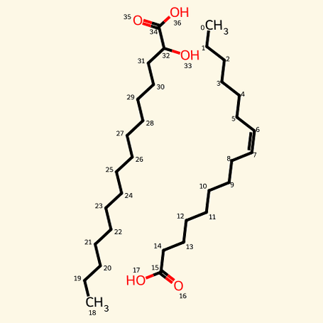 CCCCCC/C=C\CCCCCCCC(=O)O.CCCCCCCCCCCCCCC(O)C(=O)O